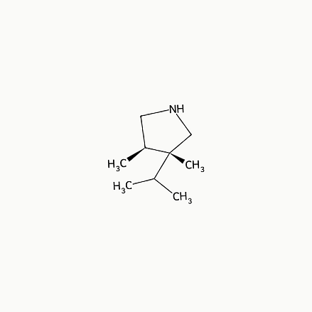 CC(C)[C@@]1(C)CNC[C@@H]1C